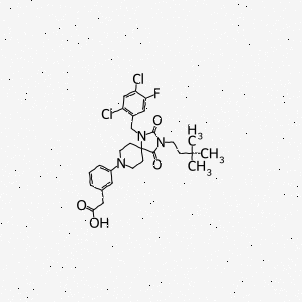 CC(C)(C)CCN1C(=O)N(Cc2cc(F)c(Cl)cc2Cl)C2(CCN(c3cccc(CC(=O)O)c3)CC2)C1=O